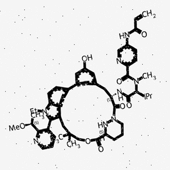 C=CC(=O)Nc1ccc(C(=O)N(C)C(C(=O)N[C@H]2Cc3cc(O)cc(c3)-c3ccc4c(c3)c(c(-c3cccnc3[C@H](C)OC)n4CC)CC(C)(C)COC(=O)[C@@H]3CCCN(N3)C2=O)C(C)C)nc1